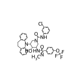 CN=S(=O)(NC1CN(C(=O)Nc2cccc(Cl)c2)CC(N2c3ccccc3CCc3ccccc32)C1O)c1ccc(OC(F)(F)F)cc1